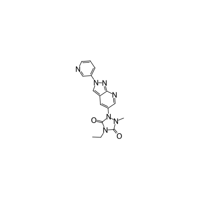 CCn1c(=O)n(C)n(-c2cnc3nn(-c4cccnc4)cc3c2)c1=O